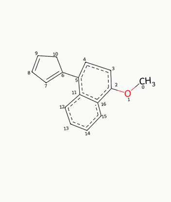 COc1ccc(C2=CC=CC2)c2ccccc12